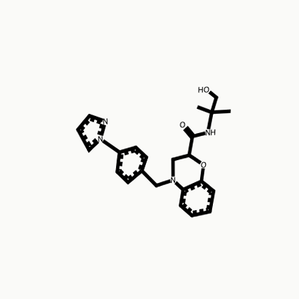 CC(C)(CO)NC(=O)C1CN(Cc2ccc(-n3cccn3)cc2)c2ccccc2O1